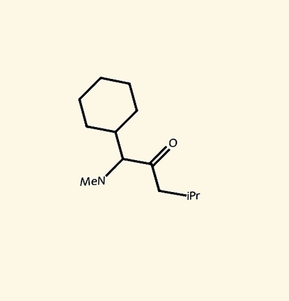 CNC(C(=O)CC(C)C)C1CCCCC1